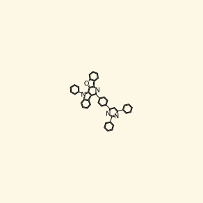 c1ccc(-c2cc(-c3ccc(-c4nc5c6ccccc6oc5c5c4c4ccccc4n5-c4ccccc4)cc3)nc(-c3ccccc3)n2)cc1